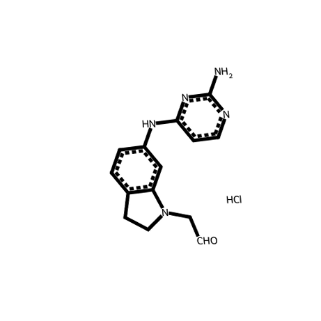 Cl.Nc1nccc(Nc2ccc3c(c2)N(CC=O)CC3)n1